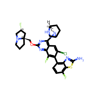 Nc1nc2c(-c3c(Cl)cc4c(N5C[C@@H]6CCC5CN6)nc(OC[C@@]56CCCN5C[C@H](F)C6)nc4c3F)ccc(F)c2s1